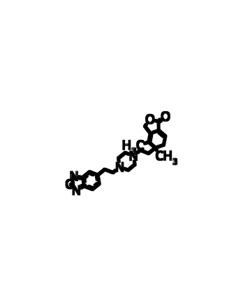 CC1=C2COC(=O)C2=CCC1(C)CCN1CCN(CCc2ccc3nonc3c2)CC1